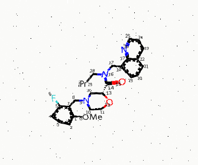 COc1cccc(F)c1CN1CCO[C@@H](C(=O)N(Cc2cccc3cccnc23)CC(C)C)C1